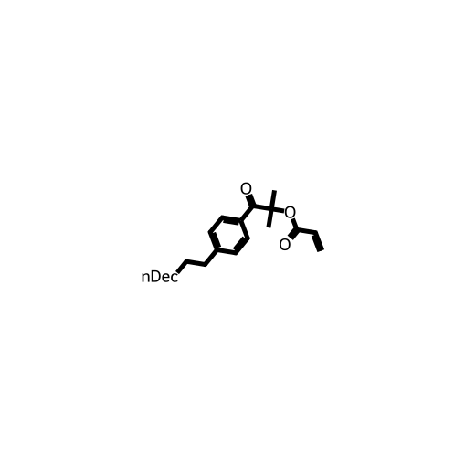 C=CC(=O)OC(C)(C)C(=O)c1ccc(CCCCCCCCCCCC)cc1